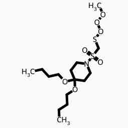 CCCCOC1(OCCCC)CCN(S(=O)(=O)CSOOOC)CC1